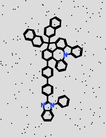 c1ccc(-n2c(-c3ccc(-c4ccc(-c5ccc6c7c5-c5ccccc5-n5c8ccccc8c8ccc(c-7c85)C6(c5ccc6ccccc6c5)c5ccc6ccccc6c5)cc4)cc3)nc3ccccc32)cc1